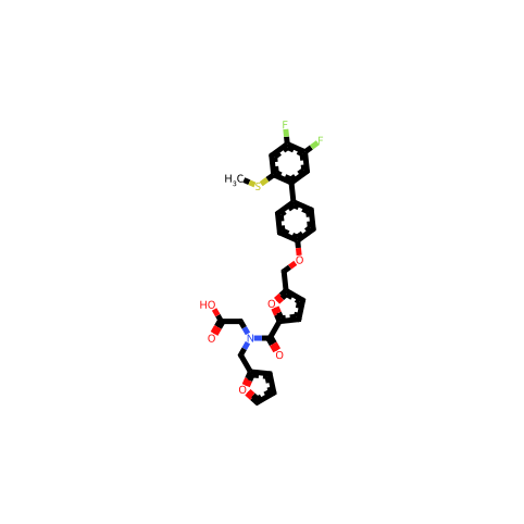 CSc1cc(F)c(F)cc1-c1ccc(OCc2ccc(C(=O)N(CC(=O)O)Cc3ccco3)o2)cc1